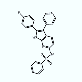 O=S(=O)(Nc1ccc2c(-c3ccncc3)c(-c3ccc(F)cc3)[nH]c2n1)c1ccccc1